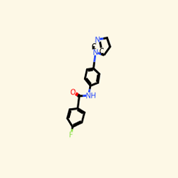 O=C(Nc1ccc(N2CCN3CCC2CC3)cc1)c1ccc(F)cc1